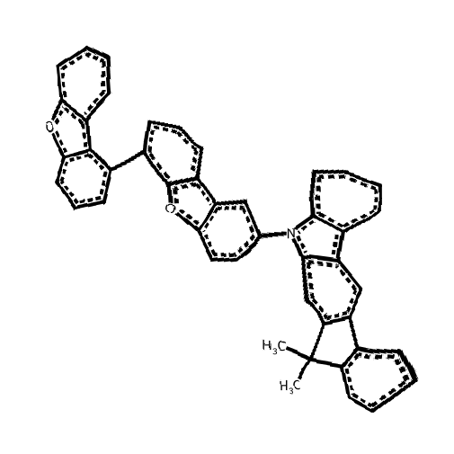 CC1(C)c2ccccc2-c2cc3c4ccccc4n(-c4ccc5oc6c(-c7cccc8oc9ccccc9c78)cccc6c5c4)c3cc21